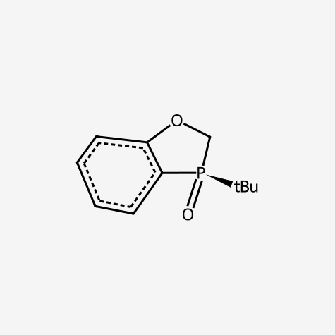 CC(C)(C)[P@]1(=O)COc2ccccc21